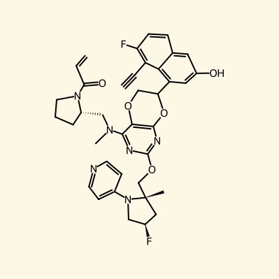 C#Cc1c(F)ccc2cc(O)cc(C3COc4c(nc(OC[C@]5(C)C[C@@H](F)CN5c5ccncc5)nc4N(C)C[C@@H]4CCCN4C(=O)C=C)O3)c12